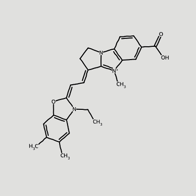 CCN1C(=CC=C2CCn3c2[n+](C)c2cc(C(=O)O)ccc23)Oc2cc(C)c(C)cc21